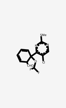 CSc1ncc(Cl)c(C2(OC(F)F)C=CC=CC2C=O)n1